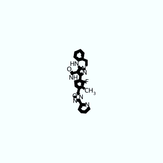 Cc1c(-c2nc(-c3ccccn3)no2)ccc(-c2nn3c(c2C(N)=O)Nc2ccccc2CC3)c1F